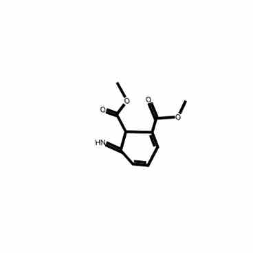 COC(=O)C1=CC=CC(=N)C1C(=O)OC